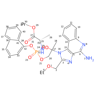 CCOCc1nc2c(N)nc3ccccc3c2n1C(C)(O)COP(=O)(N[C@@H](C)C(=O)OC(C)C)Oc1cccc2ccccc12